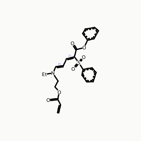 C=CC(=O)OCCN(/C=C/C=C(/C(=O)Oc1ccccc1)S(=O)(=O)c1ccccc1)CC